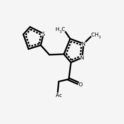 CC(=O)CC(=O)c1nn(C)c(C)c1Cc1cccs1